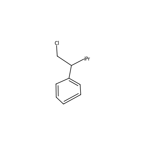 CC(C)C(CCl)c1ccccc1